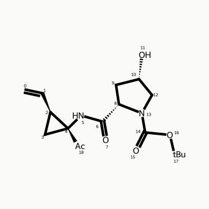 C=C[C@@H]1C[C@]1(NC(=O)[C@@H]1C[C@H](O)CN1C(=O)OC(C)(C)C)C(C)=O